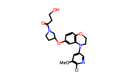 COc1cc(N2CCOc3ccc(OC4CCN(C(=O)CCO)C4)cc32)cnc1Cl